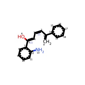 C=C(/C=C\C=C(/O)c1ccccc1N)c1ccccc1